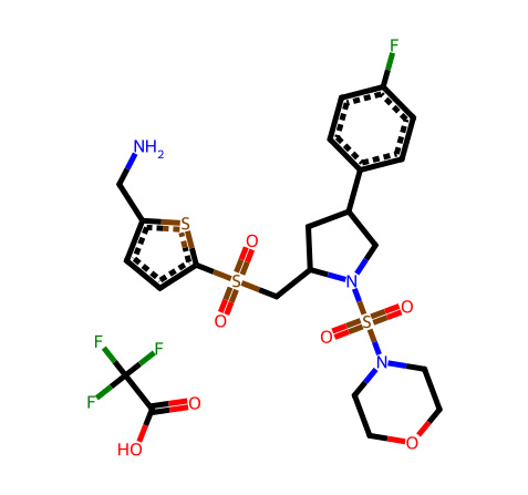 NCc1ccc(S(=O)(=O)CC2CC(c3ccc(F)cc3)CN2S(=O)(=O)N2CCOCC2)s1.O=C(O)C(F)(F)F